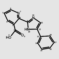 O=C(O)c1cccnc1-c1ncc(-c2ccccc2)[nH]1